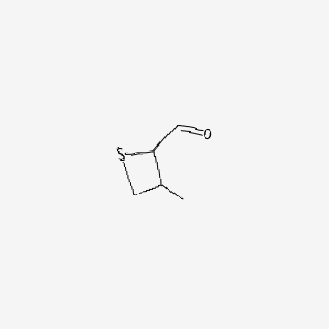 CC1CSC1C=O